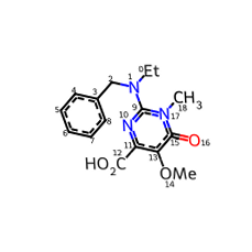 CCN(Cc1ccccc1)c1nc(C(=O)O)c(OC)c(=O)n1C